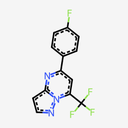 Fc1ccc(-c2cc(C(F)(F)F)n3nccc3n2)cc1